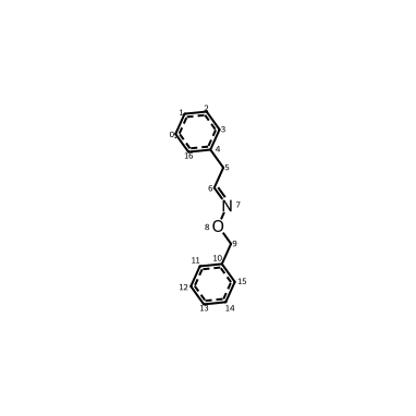 [c]1cccc(CC=NOCc2ccccc2)c1